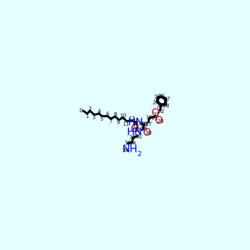 CCCCCCCCCCCCCC(=O)N[C@H](CCC(=O)OCc1ccccc1)C(=O)NCCCCN